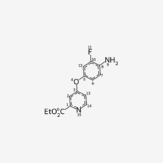 CCOC(=O)c1cc(Oc2ccc(N)c(F)c2)ccn1